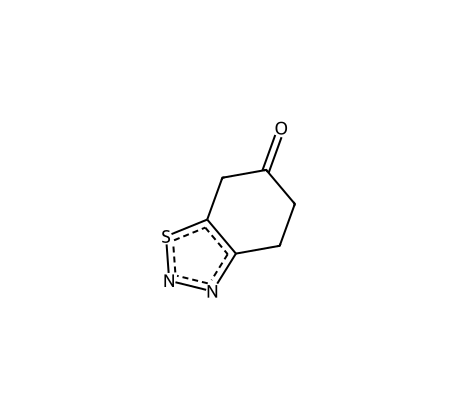 O=C1CCc2nnsc2C1